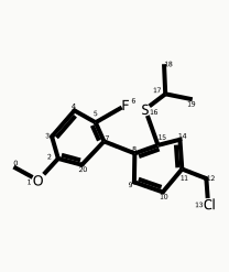 COc1ccc(F)c(-c2ccc(CCl)cc2SC(C)C)c1